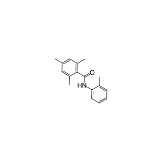 Cc1cc(C)c(C(=O)Nc2ccccc2C)c(C)c1